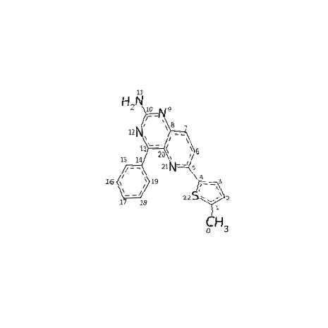 Cc1ccc(-c2ccc3nc(N)nc(-c4ccccc4)c3n2)s1